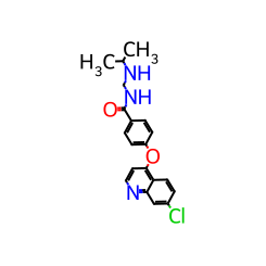 CC(C)NCNC(=O)c1ccc(Oc2ccnc3cc(Cl)ccc23)cc1